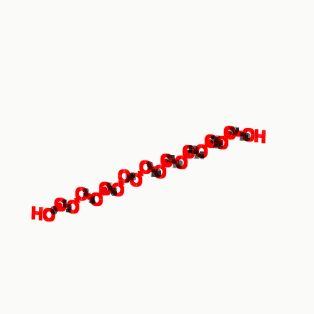 OOOOOOOOOOOOOOOOOOO